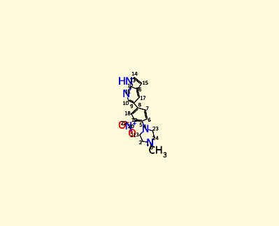 CN1CCN(c2ccc(-c3cnc4[nH]ccc4c3)cc2[N+](=O)[O-])CC1